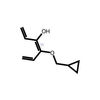 C=C/C(O)=C(\C=C)OCC1CC1